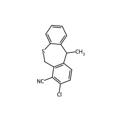 CC1c2ccccc2SCc2c1ccc(Cl)c2C#N